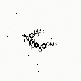 COC1CCN(C(=O)c2ccc(-c3ncc(C(=O)N(C4CC4)C4CCN(C(=O)OC(C)(C)C)CC4)cn3)c(F)c2)CC1